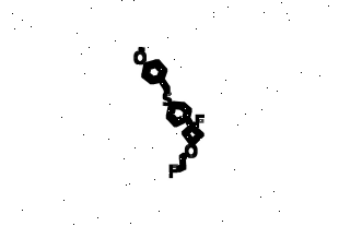 COc1ccc(CSc2ccc(C3(F)CC(OCCF)C3)cc2)cc1